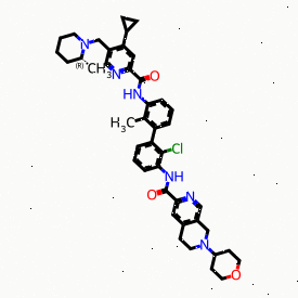 Cc1c(NC(=O)c2cc(C3CC3)c(CN3CCCC[C@H]3C)cn2)cccc1-c1cccc(NC(=O)c2cc3c(cn2)CN(C2CCOCC2)CC3)c1Cl